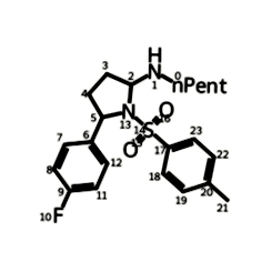 CCCCCNC1CCC(c2ccc(F)cc2)N1S(=O)(=O)c1ccc(C)cc1